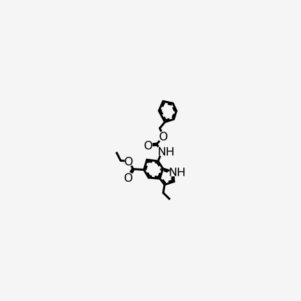 CCOC(=O)c1cc(NC(=O)OCc2ccccc2)c2[nH]cc(CC)c2c1